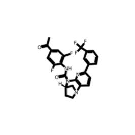 CC(=O)c1cc(F)c(NC(=O)N2c3nc(-c4cccc(C(F)(F)F)c4)ccc3N3CC[C@H]2C3)c(F)c1